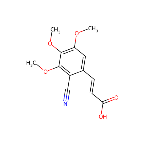 COc1cc(/C=C/C(=O)O)c(C#N)c(OC)c1OC